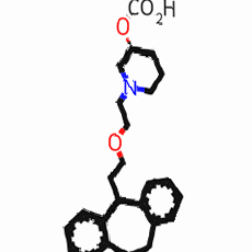 O=C(O)O[C@@H]1CCCN(CCOCCC2c3ccccc3CCc3ccccc32)C1